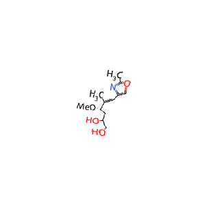 CO[C@@H](CC(O)CO)/C(C)=C/c1coc(C)n1